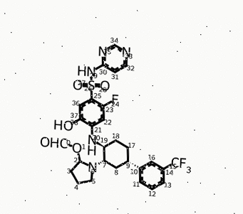 O=COC1CCCN1[C@H]1C[C@@H](c2cccc(C(F)(F)F)c2)CC[C@@H]1Nc1cc(F)c(S(=O)(=O)Nc2ccncn2)cc1O